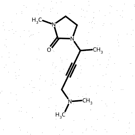 CC(C#CCN(C)C)N1CCN(C)C1=O